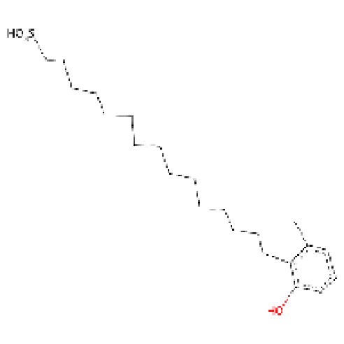 Cc1cccc(O)c1CCCCCCCCCCCCCCCS(=O)(=O)O